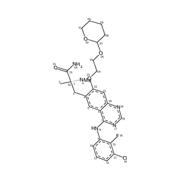 CN[C@@](C)(Cc1cc2c(Nc3cccc(Cl)c3F)ncnc2cc1OCCOC1CCCCO1)C(N)=O